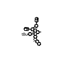 Cc1cc2c3c(c1)-n1c4ccc(C56CC7CC(CC(C7)C5)C6)cc4c4cc(C56CC7CC(CC(C7)C5)C6)cc(c41)B3N(c1ccc(C(C)(C)C)cc1)c1cc3sc4cc5ccccc5cc4c3cc1-2